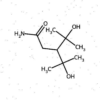 CC(C)(O)C(CC(N)=O)C(C)(C)O